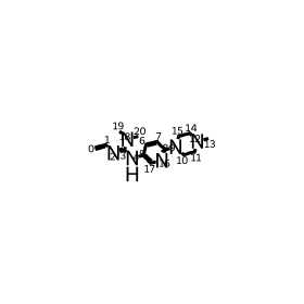 C=C/N=C(/Nc1ccc(N2CCN(C)CC2)nc1)N(C)C